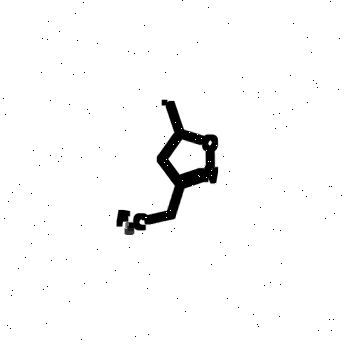 [CH2]C1CC(CC(F)(F)F)=NO1